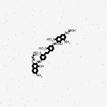 Nc1ccc2cc(SOOO)c(N=Nc3ccc(C=Cc4ccc(N=Nc5c(S(=O)(=O)O)cc6cc(SOOO)cc(N)c6c5O)cc4S(=O)(=O)O)c(S(=O)(=O)O)c3)c(O)c2c1